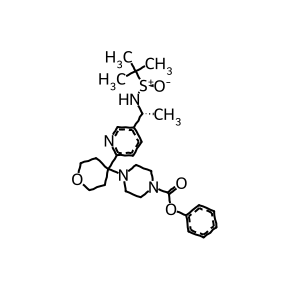 C[C@@H](N[S@+]([O-])C(C)(C)C)c1ccc(C2(N3CCN(C(=O)Oc4ccccc4)CC3)CCOCC2)nc1